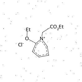 CCOC(=O)C[n+]1ccccc1OCC.[Cl-]